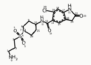 NCCCS(=O)(=O)N1CCC(NC(=O)c2cc3c(cc2Cl)NC(=O)C3)CC1